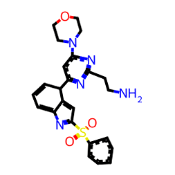 NCCc1nc(C2C=CC=C3N=C(S(=O)(=O)c4ccccc4)C=C32)cc(N2CCOCC2)n1